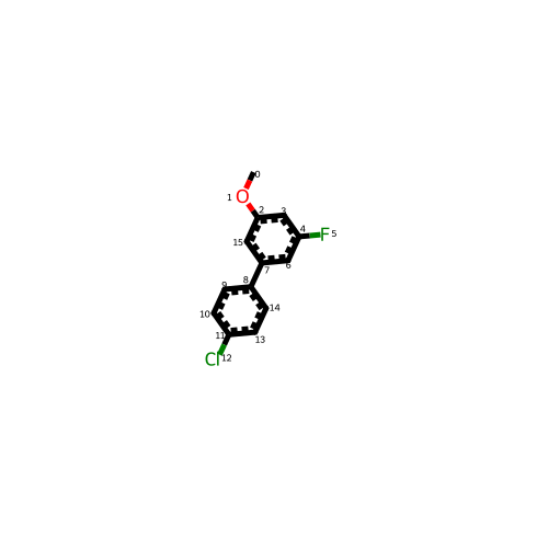 COc1cc(F)cc(-c2ccc(Cl)cc2)c1